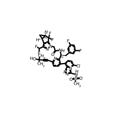 CC(C)(O)C#Cc1ccc(-c2ccc(Cl)n3c(NS(C)(=O)=O)nnc23)c([C@H](Cc2cc(F)cc(F)c2)NC(=O)Cn2nc(C(F)F)c3c2C(F)(F)[C@@H]2C[C@H]32)n1